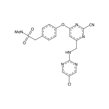 CNS(=O)(=O)Cc1ccc(Oc2cc(CNc3ncc(Cl)cn3)nc(C#N)n2)cc1